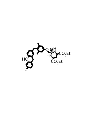 CCOC(=O)C1C[C@H](C(=O)OCC)NP(=O)(COc2cc(C)c(Cc3ccc(O)c(Cc4ccc(F)cc4)c3)c(C)c2)N1